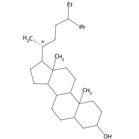 CCC(CC[C@@H](C)C1CCC2C3CCC4CC(O)CCC4(C)C3CCC21C)C(C)C